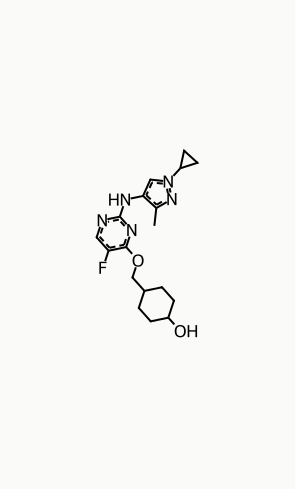 Cc1nn(C2CC2)cc1Nc1ncc(F)c(OCC2CCC(O)CC2)n1